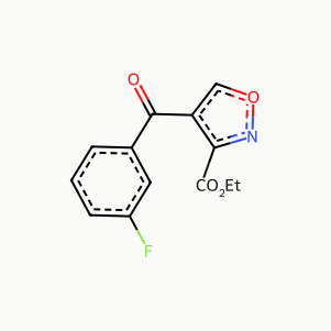 CCOC(=O)c1nocc1C(=O)c1cccc(F)c1